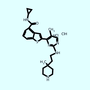 Cc1cnc(NCCC2(C)CCNCC2)nc1-c1cc2c(C(=O)NC3CC3)cccc2s1.Cl.Cl